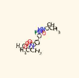 COC(=O)C(C(C)C)N1Cc2ccc(-c3ccc(NC(=O)Nc4ccc(C)c(C)c4)c(F)c3)cc2C1=O